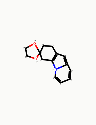 c1ccn2c3c(cc2c1)CCC1(C3)OCCO1